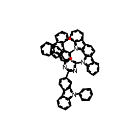 c1ccc(-c2nc(-c3ccc4c5ccccc5n(-c5ccccc5)c4c3)nc(-n3c4ccccc4c4ccc5c6ccccc6n(-c6cccc7c8ccccc8c8ccccc8c67)c5c43)n2)cc1